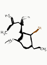 C=C(C)C(CC)C1C(C)CC(C)C1S